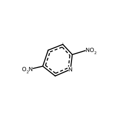 O=[N+]([O-])c1c[c]c([N+](=O)[O-])nc1